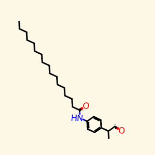 CCCCCCCCCCCCCCCCC(=O)Nc1ccc(C(C)[C]=O)cc1